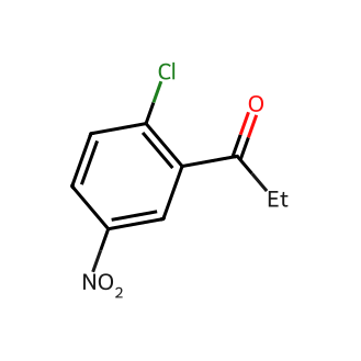 [CH2]CC(=O)c1cc([N+](=O)[O-])ccc1Cl